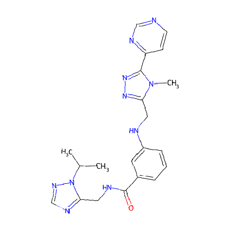 CC(C)n1ncnc1CNC(=O)c1cccc(NCc2nnc(-c3ccncn3)n2C)c1